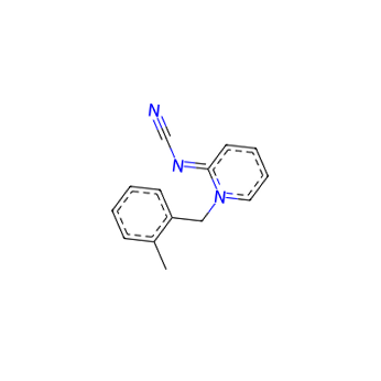 Cc1ccccc1Cn1ccccc1=NC#N